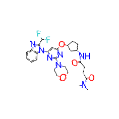 CN(C)C(=O)CCC(=O)N[C@H]1CC[C@H](Oc2cc(-n3c(C(F)F)nc4ccccc43)nc(N3CCOCC3)n2)C1